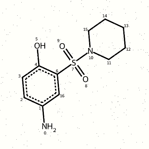 Nc1ccc(O)c(S(=O)(=O)N2CCCCC2)c1